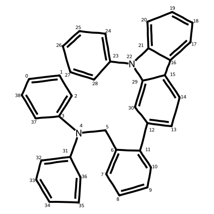 c1ccc(N(Cc2ccccc2-c2ccc3c4ccccc4n(-c4ccccc4)c3c2)c2ccccc2)cc1